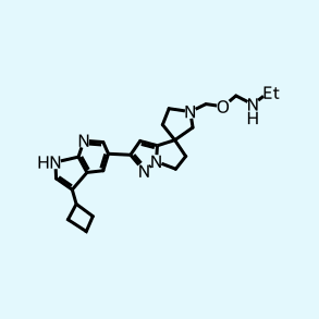 CCNCOCN1CCC2(CCn3nc(-c4cnc5[nH]cc(C6CCC6)c5c4)cc32)C1